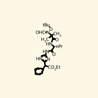 CCC[C@@H](NC(=O)C(C)(C)N(C=O)OC(C)(C)C)C(=O)Nc1c[nH]c(C(C(=O)OCC)c2ccccc2)n1